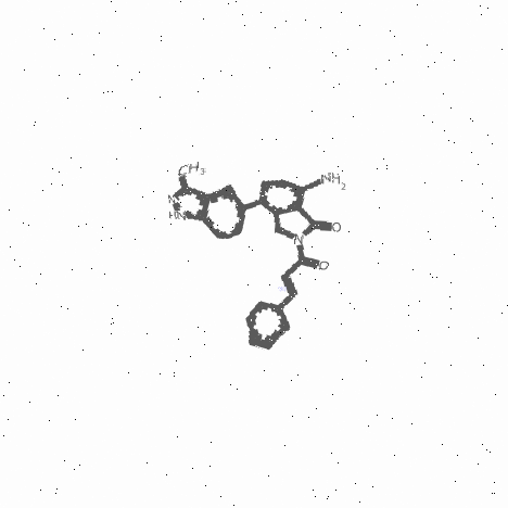 Cc1n[nH]c2ccc(-c3ccc(N)c4c3CN(C(=O)/C=C/c3ccccc3)C4=O)cc12